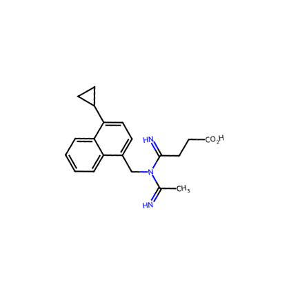 CC(=N)N(Cc1ccc(C2CC2)c2ccccc12)C(=N)CCC(=O)O